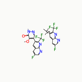 COc1c(-c2cc3cc(F)cnc3nc2C(F)(F)F)cnn(C)c1=O.[CH3][Sn]([CH3])([CH3])[c]1cc2cc(F)cnc2nc1C(F)(F)F